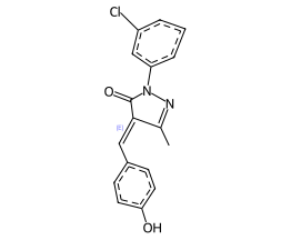 CC1=NN(c2cccc(Cl)c2)C(=O)/C1=C/c1ccc(O)cc1